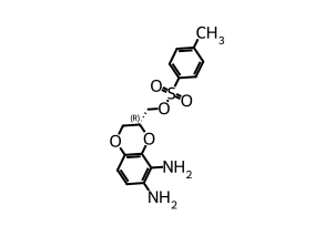 Cc1ccc(S(=O)(=O)OC[C@H]2COc3ccc(N)c(N)c3O2)cc1